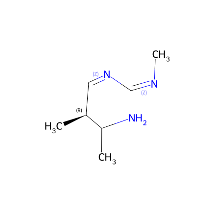 C/N=C\N=C/[C@H](C)C(C)N